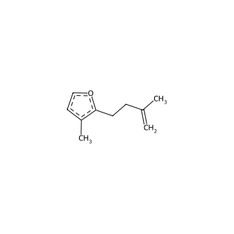 C=C(C)CCc1occc1C